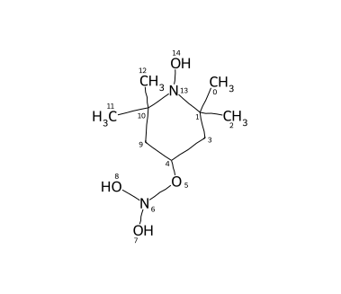 CC1(C)CC(ON(O)O)CC(C)(C)N1O